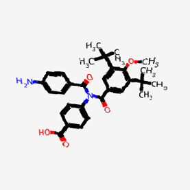 COc1c(C(C)(C)C)cc(C(=O)N(C(=O)c2ccc(N)cc2)c2ccc(C(=O)O)cc2)cc1C(C)(C)C